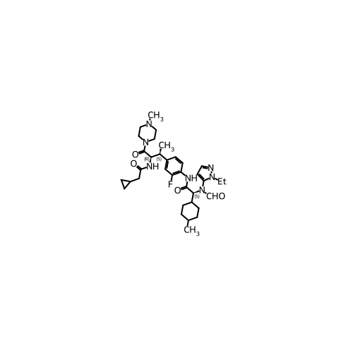 CCn1nccc1N(C=O)[C@H](C(=O)Nc1ccc([C@H](C)[C@@H](NC(=O)CC2CC2)C(=O)N2CCN(C)CC2)cc1F)C1CCC(C)CC1